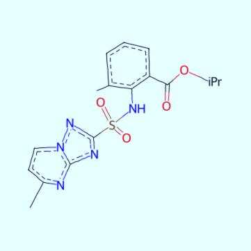 Cc1ccn2nc(S(=O)(=O)Nc3c(C)cccc3C(=O)OC(C)C)nc2n1